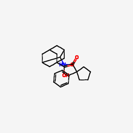 O=C(O)C12CC3CC(C1)C(NC(=O)C1(c4ccccc4)CCCC1)C(C3)C2